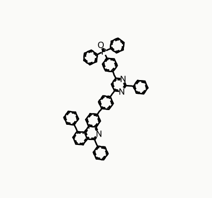 O=P(c1ccccc1)(c1ccccc1)c1ccc(-c2cc(-c3ccc(-c4ccc5c(c4)nc(-c4ccccc4)c4cccc(-c6ccccc6)c45)cc3)nc(-c3ccccc3)n2)cc1